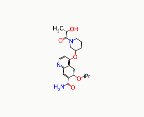 CC(C)Oc1cc2c(O[C@@H]3CCCN(C(=O)[C@H](C)O)C3)ccnc2cc1C(N)=O